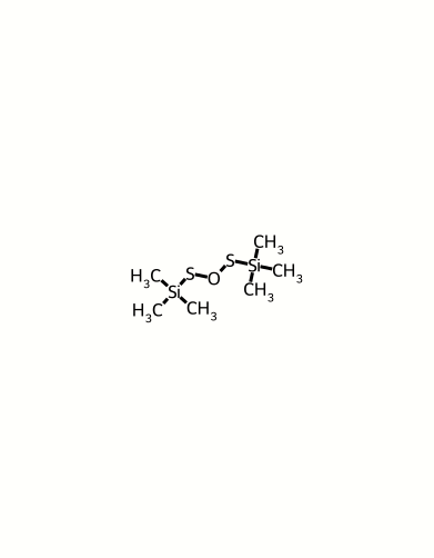 C[Si](C)(C)SOS[Si](C)(C)C